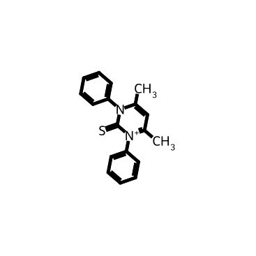 Cc1cc(C)[n+](-c2ccccc2)c(=S)n1-c1ccccc1